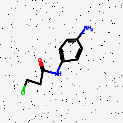 Nc1ccc(NC(=O)CCCl)cc1